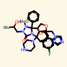 CON1N(CC(O)C(C)(C)C)C(=O)N(C2(N3CCNCC3)C=CC=CC2)C1(c1ccccc1)C1COC(Cn2cncn2)(c2ccc(F)cc2F)O1